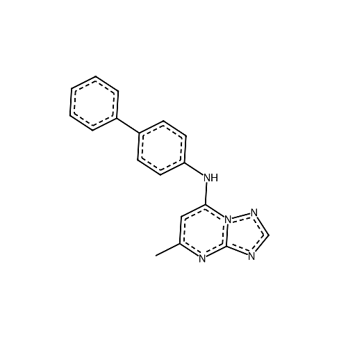 Cc1cc(Nc2ccc(-c3ccccc3)cc2)n2ncnc2n1